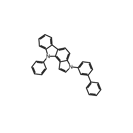 c1ccc(-c2cccc(-n3ccc4c3ccc3c5ccccc5n(-c5ccccc5)c34)c2)cc1